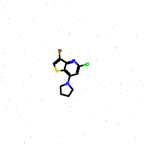 Clc1cc(N2CCCC2)c2scc(Br)c2n1